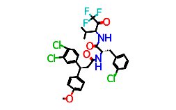 COc1ccc([C@H](CC(=O)N[C@@H](Cc2cccc(Cl)c2)C(=O)N[C@H](C(=O)C(F)(F)F)C(C)C)c2ccc(Cl)c(Cl)c2)cc1